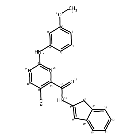 COc1cccc(Nc2ncc(Cl)c(C(=O)NC3=Cc4ccccc4C3)n2)c1